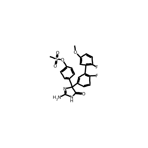 COc1ccc(F)c(-c2cc(C3(c4ccc(OS(C)(=O)=O)cc4)N=C(N)NC3=O)ccc2F)c1